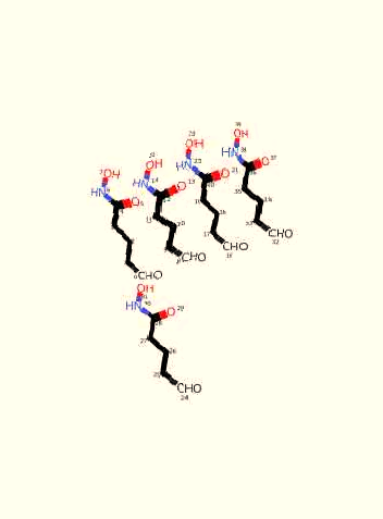 O=CCCCC(=O)NO.O=CCCCC(=O)NO.O=CCCCC(=O)NO.O=CCCCC(=O)NO.O=CCCCC(=O)NO